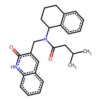 CC(C)CC(=O)N(Cc1cc2ccccc2[nH]c1=O)C1CCCc2ccccc21